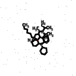 CCCCCCC1(C)CC(c2ccccc2P(C2CCCCC2)C2CCCCC2)C([C@H](C)P(C(C)C)C(C)C)C1